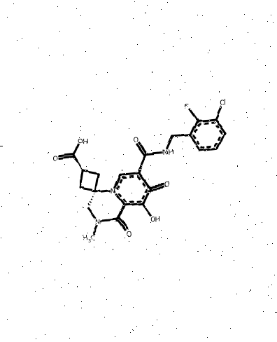 CN1C[C@]2(C[C@H](C(=O)O)C2)n2cc(C(=O)NCc3cccc(Cl)c3F)c(=O)c(O)c2C1=O